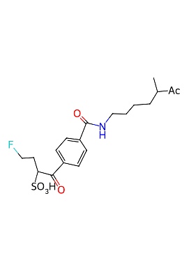 CC(=O)C(C)CCCCNC(=O)c1ccc(C(=O)C(CCF)S(=O)(=O)O)cc1